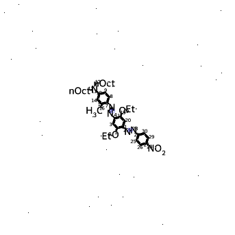 [CH2][CH]Oc1cc(/N=N/c2ccc(N(CCCCCCCC)CCCCCCCC)cc2C)c(O[CH][CH2])cc1/N=N/c1ccc([N+](=O)[O-])cc1